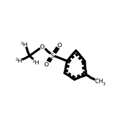 [2H]C([2H])([2H])OS(=O)(=O)c1ccc(C)cc1